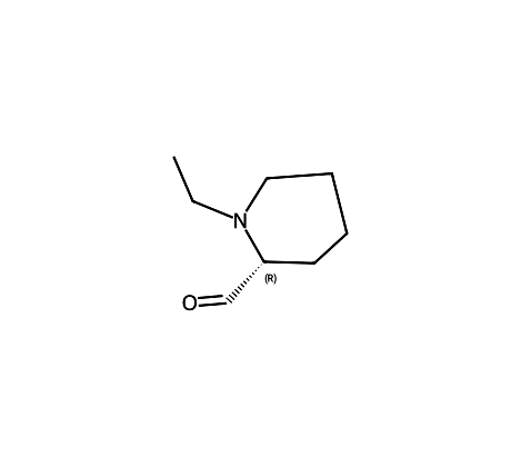 CCN1CCCC[C@@H]1C=O